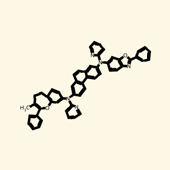 CC1=C(c2ccccc2)Oc2cc(N(c3ccc4c(ccc5cc(N(c6ccc7nc(-c8ccccc8)oc7c6)c6ccccn6)ccc54)c3)c3ccccn3)ccc2CC1